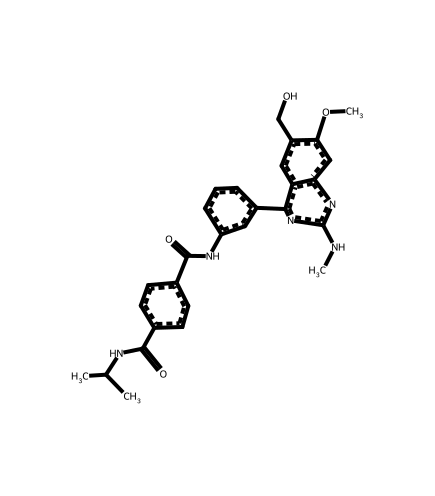 CNc1nc(-c2cccc(NC(=O)c3ccc(C(=O)NC(C)C)cc3)c2)c2cc(CO)c(OC)cc2n1